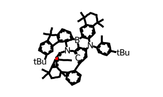 Cc1cc(C(C)(C)C)ccc1N1c2cc3c(cc2B2c4ccc5c(c4N4c6cc7c(cc6C)C(C)(C)CCC7(C)c6ccccc6-c6cc1c2c4c6)-c1cc(C(C)(C)C)ccc1C5(C)C)C(C)(C)CCC3(C)C